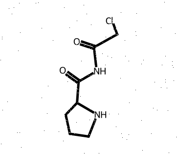 O=C(CCl)NC(=O)C1CCCN1